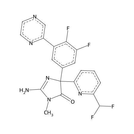 CN1C(=O)C(c2cc(F)c(F)c(-c3cnccn3)c2)(c2cccc(C(F)F)n2)N=C1N